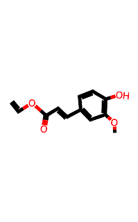 C=COC(=O)C=Cc1ccc(O)c(OC)c1